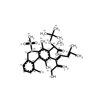 C=C(CO)/C(=C\C=C(C)C)c1c(C)c2c(c(C)c1[C@@](C)(OC(C)(C)C)C(=O)O)N(S(C)(=O)=O)Cc1cccc(F)c1-2